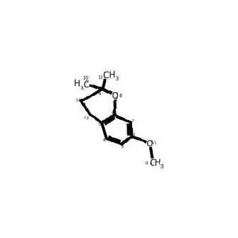 COc1ccc2c(c1)OC(C)(C)CC2